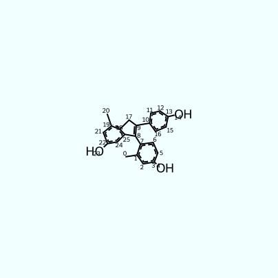 Cc1cc(O)ccc1C1=C(c2ccc(O)cc2)Cc2c(C)cc(O)cc21